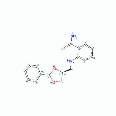 NC(=O)c1ccccc1NC[C@H]1COC(c2ccccc2)O1